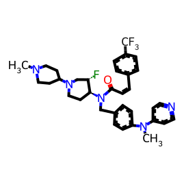 CN1CCC(N2CC[C@H](N(Cc3ccc(N(C)c4ccncc4)cc3)C(=O)C=Cc3ccc(C(F)(F)F)cc3)[C@@H](F)C2)CC1